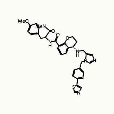 CNC(=O)[C@H](Cc1ccc(OC)cc1)NC(=O)c1cccc2c1OCC[C@@H]2NCc1cncn1Cc1ccc(-c2cncs2)cc1